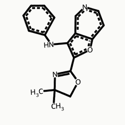 CC1(C)COC(c2oc3ccncc3c2Nc2ccccc2)=N1